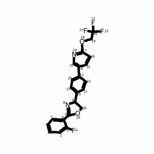 Fc1ccccc1C1=NC(c2ccc(-c3ccc(OCC(F)(F)F)nc3)cc2)CO1